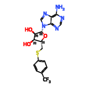 Nc1ncnc2c1ncn2[C@@H]1O[C@H](CSc2ccc(C(F)(F)F)cc2)[C@@H](O)[C@H]1O